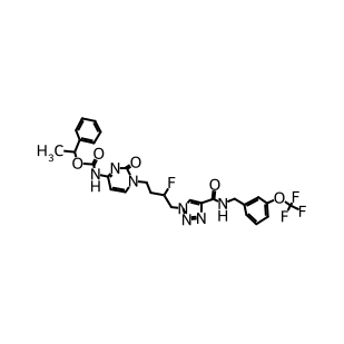 CC(OC(=O)Nc1ccn(CCC(F)Cn2cc(C(=O)NCc3cccc(OC(F)(F)F)c3)nn2)c(=O)n1)c1ccccc1